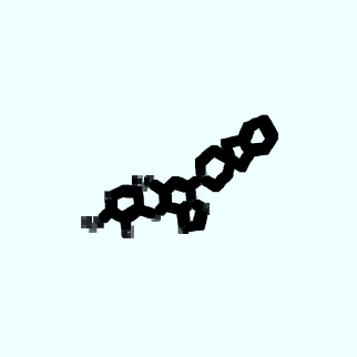 Cc1cc(N2CCC3(CC2)Cc2ccccc2C3)n2ncnc2c1Sc1ccnc(N)c1Cl